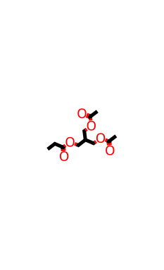 CCC(=O)OCC(COC(C)=O)COC(C)=O